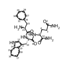 NC(=O)CC[C@H](NC(=O)[C@H](Cc1c[nH]c2ccccc12)NC(=O)[C@@H](N)Cc1ccccc1)C(N)=O